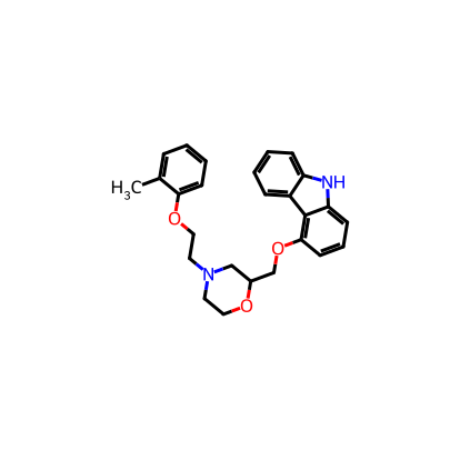 Cc1ccccc1OCCN1CCOC(COc2cccc3[nH]c4ccccc4c23)C1